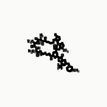 C[C@H]1CCCN(Cc2cc3c(c(C(F)(F)F)c2)CN(c2cc(C4(Cc5nncn5C)COC4)cc(NCCSCNC(=O)[C@H](C)NC(=O)[C@@H](C)NC(=O)[C@H](C)NC(=O)CCCCCN4C(=O)C=CC4=O)n2)C3=O)C1